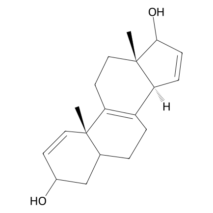 C[C@]12C=CC(O)CC1CCC1=C2CC[C@]2(C)C(O)C=C[C@@H]12